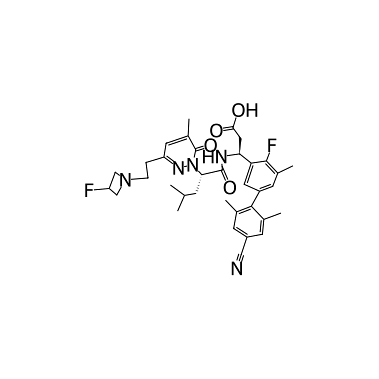 Cc1cc(-c2c(C)cc(C#N)cc2C)cc([C@H](CC(=O)O)NC(=O)[C@H](CC(C)C)n2nc(CCN3CC(F)C3)cc(C)c2=O)c1F